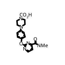 CNC(=O)c1ccnc(Oc2ccc(N3CCN(C(=O)O)CC3)cc2)n1